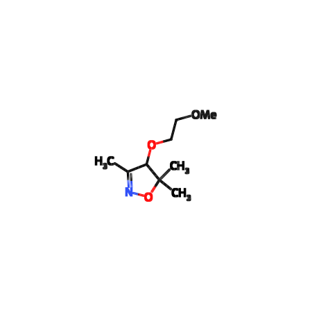 COCCOC1C(C)=NOC1(C)C